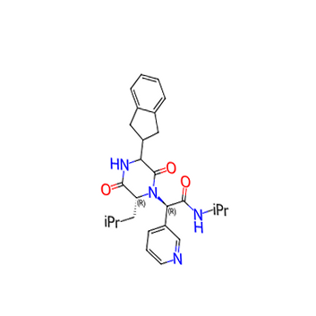 CC(C)C[C@@H]1C(=O)NC(C2Cc3ccccc3C2)C(=O)N1[C@@H](C(=O)NC(C)C)c1cccnc1